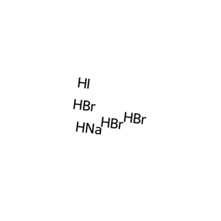 Br.Br.Br.I.[NaH]